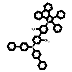 Cc1cc(N(c2ccc(-c3ccccc3)cc2)c2ccc(-c3ccccc3)cc2)ccc1-c1ccc(-n2c(-c3ccccc3)c(-c3ccccc3)c3c4ccccc4c4ccccc4c32)cc1C